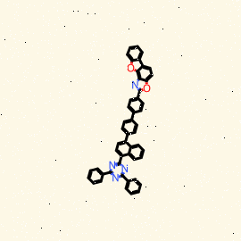 c1ccc(-c2nc(-c3ccccc3)nc(-c3ccc(-c4ccc(-c5ccc(-c6nc7c(ccc8c9ccccc9oc87)o6)cc5)cc4)c4ccccc34)n2)cc1